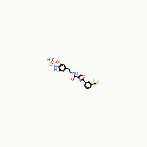 CS(=O)(=O)Nc1c(F)cc(CCNC(=O)c2coc(-c3cccc(C(F)(F)F)c3)n2)cc1F